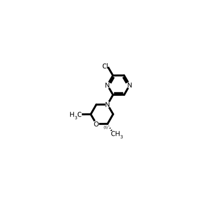 CC1CN(c2cncc(Cl)n2)C[C@H](C)O1